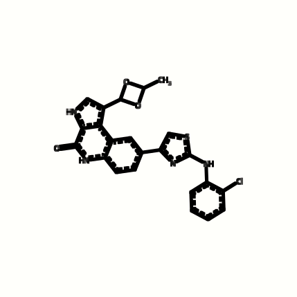 CC1OC(c2c[nH]c3c(=O)[nH]c4ccc(-c5csc(Nc6ccccc6Cl)n5)cc4c23)O1